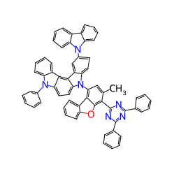 Cc1cc(-n2c3ccc(-n4c5ccccc5c5ccccc54)cc3c3c4c5ccccc5n(-c5ccccc5)c4ccc32)c2c(oc3ccccc32)c1-c1nc(-c2ccccc2)nc(-c2ccccc2)n1